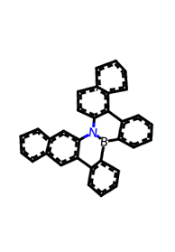 c1ccc2c(c1)B1c3ccccc3-c3c(ccc4ccccc34)N1c1cc3ccccc3cc1-2